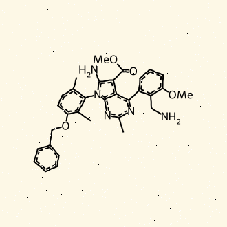 COC(=O)c1c(N)n(-c2c(C)ccc(OCc3ccccc3)c2C)c2nc(C)nc(-c3cccc(OC)c3CN)c12